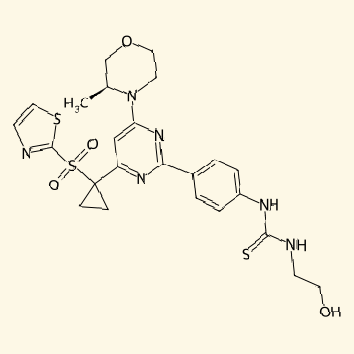 C[C@H]1COCCN1c1cc(C2(S(=O)(=O)c3nccs3)CC2)nc(-c2ccc(NC(=S)NCCO)cc2)n1